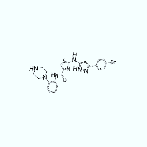 O=C(Nc1ccccc1N1CCNCC1)c1csc(Nc2cc(-c3ccc(Br)cc3)n[nH]2)n1